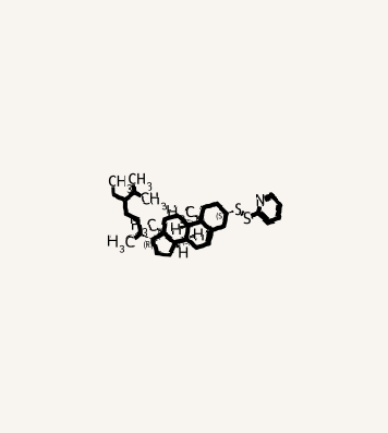 CCC(CCC(C)[C@H]1CC[C@H]2[C@@H]3CC=C4C[C@@H](SSc5ccccn5)CC[C@]4(C)[C@H]3CC[C@]12C)C(C)C